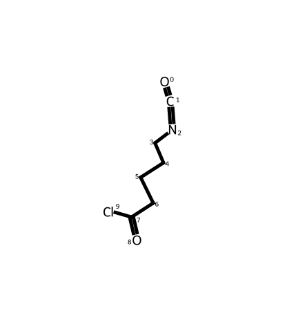 O=C=NCCCCC(=O)Cl